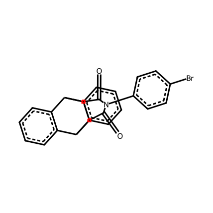 O=C1C2C3c4ccccc4C(c4ccccc43)C2C(=O)N1c1ccc(Br)cc1